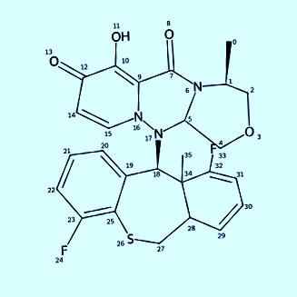 C[C@H]1COCC2N1C(=O)c1c(O)c(=O)ccn1N2[C@@H]1c2cccc(F)c2SCC2C=CC=C(F)C21C